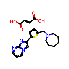 O=C(O)/C=C/C(=O)O.c1cnc2nc(-c3ccc(CN4CCCCCC4)s3)cn2c1